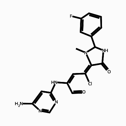 CN1/C(=C(Cl)\C=C(/C=O)Nc2cc(N)ncn2)C(=O)NC1c1cccc(F)c1